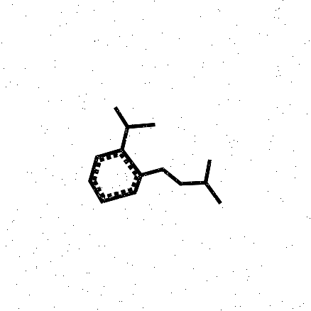 CC(C)CCc1ccccc1C(C)C